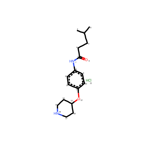 CC(C)CCC(=O)Nc1ccc(OC2CCNCC2)cc1.Cl